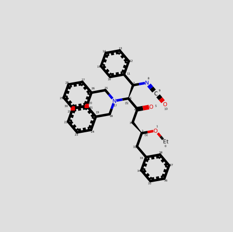 CCO[C@H](CC(=O)[C@H](C(N=C=O)c1ccccc1)N(Cc1ccccc1)Cc1ccccc1)Cc1ccccc1